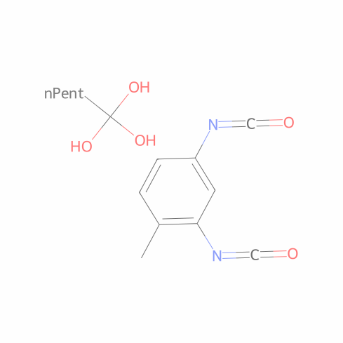 CCCCCC(O)(O)O.Cc1ccc(N=C=O)cc1N=C=O